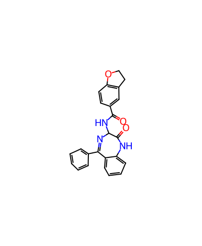 O=C(NC1N=C(c2ccccc2)c2ccccc2NC1=O)c1ccc2c(c1)CCO2